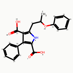 CC(Cc1[nH]c(C(=O)O)c(-c2ccccc2)c1C(=O)O)Oc1ccccc1